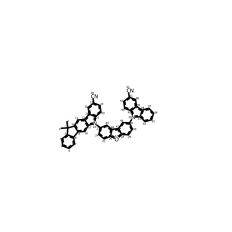 CC1(C)c2ccccc2-c2cc3c(cc21)c1cc(C#N)ccc1n3-c1ccc2oc3ccc(-n4c5ccccc5c5cc(C#N)ccc54)cc3c2c1